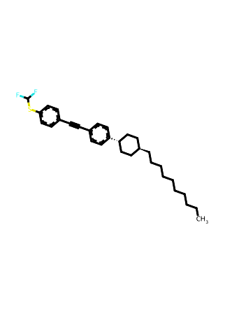 CCCCCCCCCC[C@H]1CC[C@H](c2ccc(C#Cc3ccc(SC(F)F)cc3)cc2)CC1